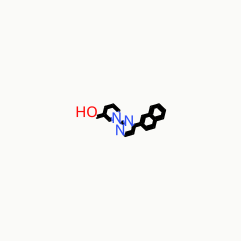 OCC1CCCN(c2nccc(-c3ccc4ccccc4c3)n2)C1